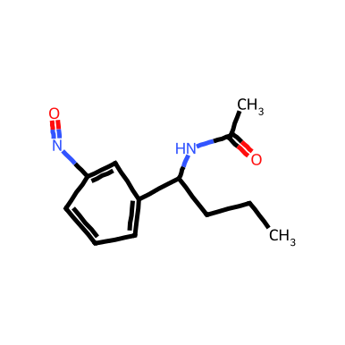 CCCC(NC(C)=O)c1cccc(N=O)c1